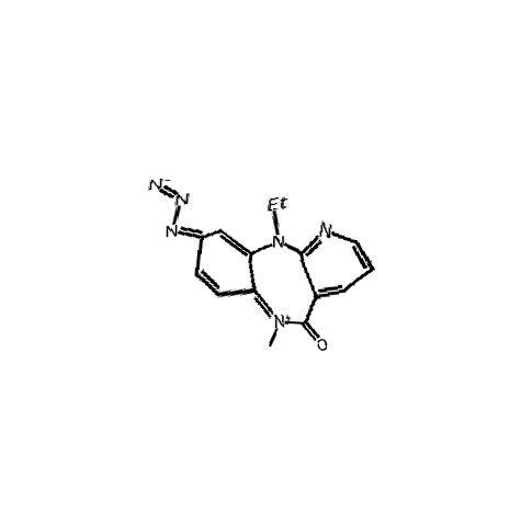 CCn1c2cc(=NN=[N-])ccc-2[n+](C)c(=O)c2cccnc21